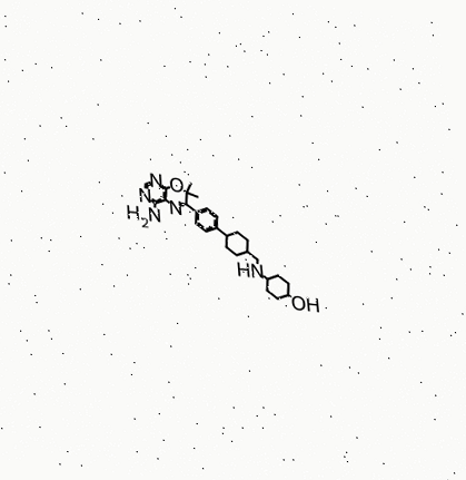 CC1(C)Oc2ncnc(N)c2N=C1c1ccc(C2CCC(CNC3CCC(O)CC3)CC2)cc1